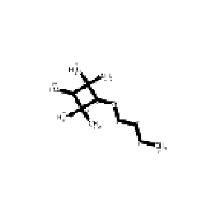 CCCCOC1C(C)(C)C(O)C1(C)C